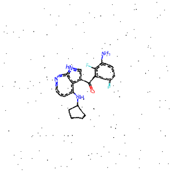 Nc1ccc(F)c(C(=O)c2c[nH]c3nccc(NC4CCCC4)c23)c1F